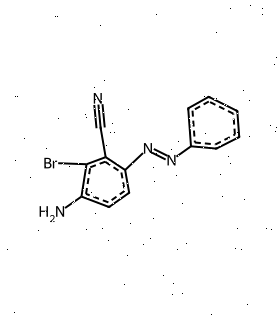 N#Cc1c(N=Nc2ccccc2)ccc(N)c1Br